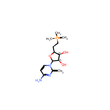 C=C1N=C(N)C=CN1C1OC(CCP(=C)(C)C)[C@@H](O)[C@H]1O